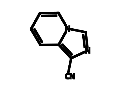 N#Cc1ncn2ccccc12